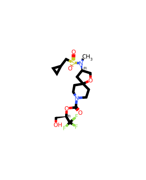 CN([C@H]1COC2(CCN(C(=O)O[C@H](CO)C(F)(F)F)CC2)C1)S(=O)(=O)CC1CC1